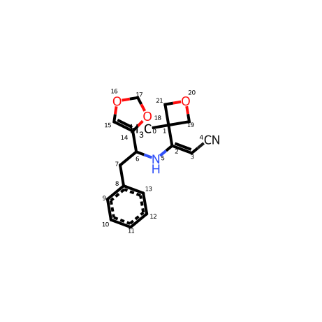 CC1(/C(=C\C#N)NC(Cc2ccccc2)C2=COCO2)COC1